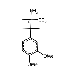 COc1ccc(C(C)(C)[C@](C)(N)C(=O)O)cc1OC